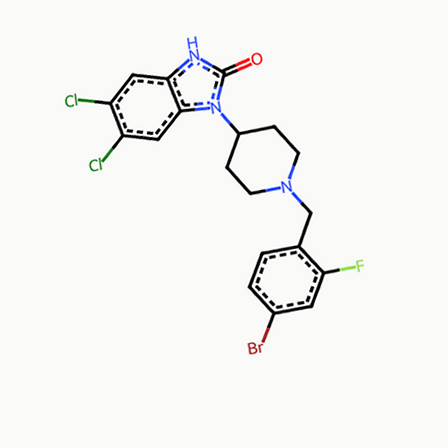 O=c1[nH]c2cc(Cl)c(Cl)cc2n1C1CCN(Cc2ccc(Br)cc2F)CC1